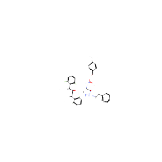 CC(C)C[C@H](NC(=O)OCc1ccc([N+](=O)[O-])cc1)C(=O)N[C@@H](Cc1ccccc1)C(=O)O.O=C(O)C(C(=O)C(C(=O)O)c1c(F)cccc1F)c1c(F)cccc1F